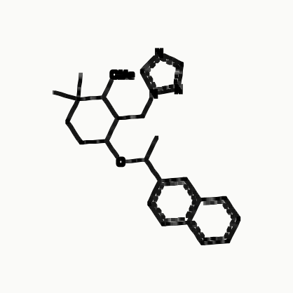 COC1C(Cn2cncn2)C(OC(C)c2ccc3ccccc3c2)CCC1(C)C